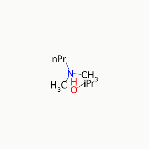 CC(C)O.CCCN(C)C